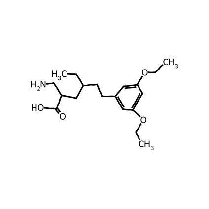 CCOc1cc(CCC(CC)CC(CN)C(=O)O)cc(OCC)c1